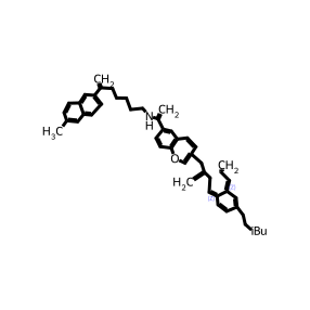 C=C/C=c1/cc(CCC(C)CC)cc/c1=C/CC(=C)CC1=COc2ccc(C(=C)NCCCCCC(=C)c3ccc4cc(C)ccc4c3)cc2C=C1